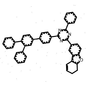 C1=Cc2c(oc3ccc(-c4nc(-c5ccccc5)nc(-c5ccc(-c6ccc(-c7ccccc7)c(-c7ccccc7)c6)cc5)n4)cc23)CC1